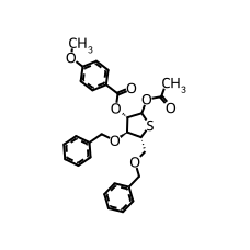 COc1ccc(C(=O)O[C@@H]2C(OC(C)=O)S[C@H](COCc3ccccc3)[C@H]2OCc2ccccc2)cc1